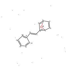 C(=Cc1cc2ccc1o2)c1ccccc1